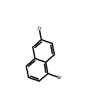 [O]c1ccc2c(Br)cccc2c1